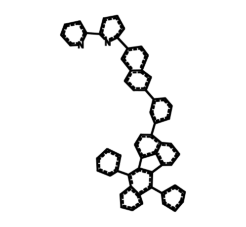 c1ccc(-c2c3c(c(-c4ccccc4)c4ccccc24)-c2ccc(-c4cccc(-c5ccc6cc(-c7cccc(-c8ccccn8)n7)ccc6c5)c4)c4cccc-3c24)cc1